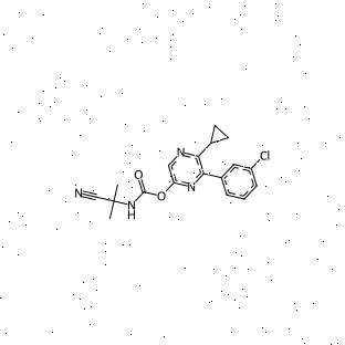 CC(C)(C#N)NC(=O)Oc1cnc(C2CC2)c(-c2cccc(Cl)c2)n1